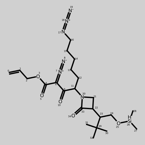 C=CCOC(=O)C(=[N+]=[N-])C(=O)C(CCCCCN=[N+]=[N-])N1CC(C(CO[SiH](C)C)C(C)(C)C)C1=O